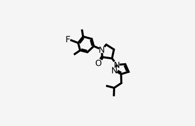 Cc1cc(N2CCC(n3ccc(CC(C)C)n3)C2=O)cc(C)c1F